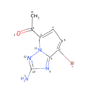 CC(=O)c1ccc(Br)c2nc(N)nn12